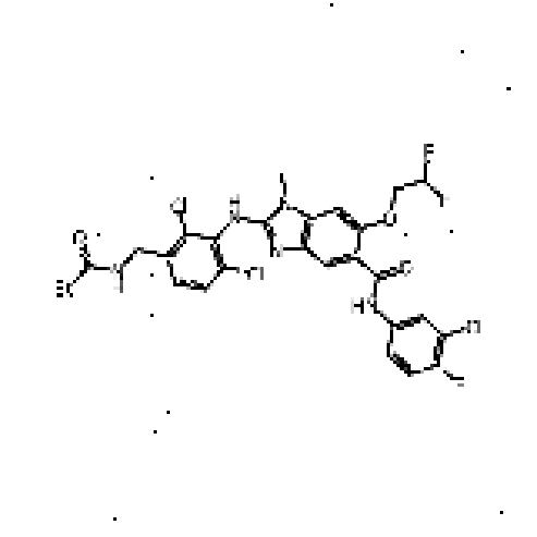 CCC(=O)NCc1ccc(Cl)c(Nc2nc3cc(C(=O)Nc4ccc(F)c(Cl)c4)c(OCC(F)F)cc3n2C)c1Cl